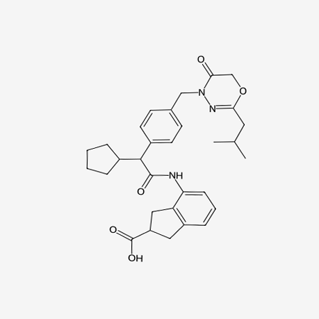 CC(C)CC1=NN(Cc2ccc(C(C(=O)Nc3cccc4c3CC(C(=O)O)C4)C3CCCC3)cc2)C(=O)CO1